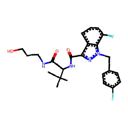 CC(C)(C)C(NC(=O)c1nn(Cc2ccc(F)cc2)c2c(F)cccc12)C(=O)NCCCO